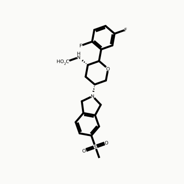 CS(=O)(=O)c1ccc2c(c1)CN([C@H]1COC(c3cc(F)ccc3F)[C@@H](NC(=O)O)C1)C2